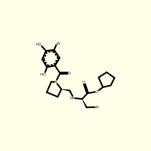 CC(C)C[C@@H](NC[C@H]1CCCN1C(=O)c1cc(C(C)C)c(O)cc1O)C(=O)OC1CCCC1